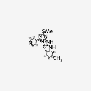 CSc1nc(NC(=O)Nc2cccc(C)c2)nc(-c2ccncc2)n1